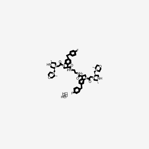 C[C@@H]1CN(CC(=O)N2C[C@](C)(C(=O)NCCNC(=O)[C@@]3(C)CN(C(=O)CN4C[C@@H](C)NC[C@@H]4CN4CCOC[C@H]4C)c4cc(Cc5ccc(F)cc5)ccc43)c3ccc(Cc4ccc(F)cc4)cc32)[C@@H](CN2CCOC[C@H]2C)CN1.Cl.Cl.Cl